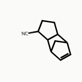 N#CC1CCC2C3C=CC(C3)C12